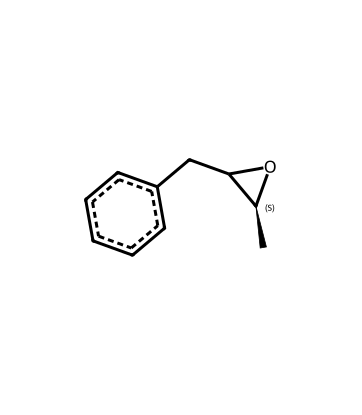 C[C@@H]1OC1Cc1ccccc1